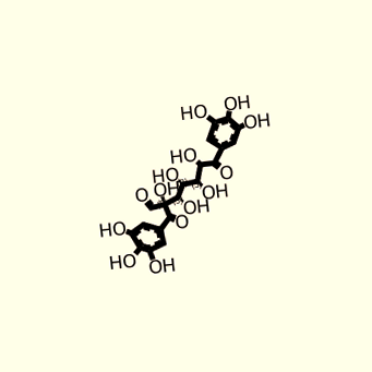 O=C[C@@](O)(C(=O)c1cc(O)c(O)c(O)c1)[C@@H](O)[C@H](O)[C@H](O)C(O)C(=O)c1cc(O)c(O)c(O)c1